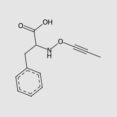 CC#CONC(Cc1ccccc1)C(=O)O